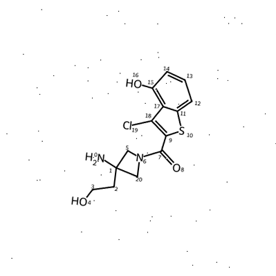 NC1(CCO)CN(C(=O)c2sc3cccc(O)c3c2Cl)C1